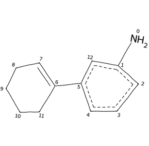 Nc1cccc(C2=CCCCC2)c1